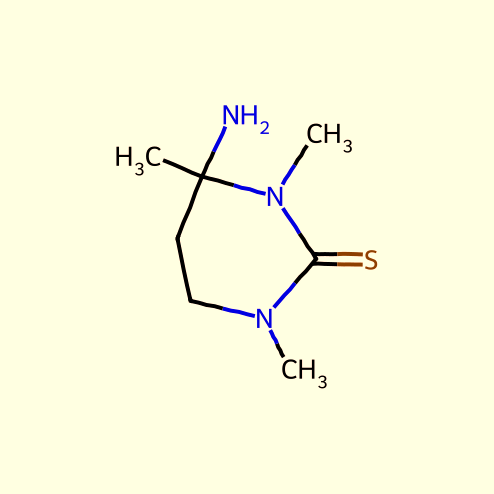 CN1CCC(C)(N)N(C)C1=S